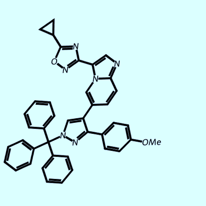 COc1ccc(-c2nn(C(c3ccccc3)(c3ccccc3)c3ccccc3)cc2-c2ccc3ncc(-c4noc(C5CC5)n4)n3c2)cc1